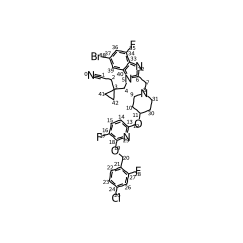 N#CCC1(Cn2c(CN3CCC(Oc4ccc(F)c(OCc5ccc(Cl)cc5F)n4)CC3)nc3c(F)cc(Br)cc32)CC1